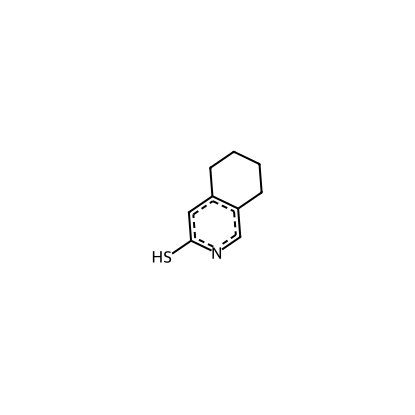 Sc1cc2c(cn1)CCCC2